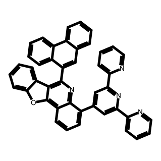 c1ccc(-c2cc(-c3cccc4c3nc(-c3cc5ccccc5c5ccccc35)c3c5ccccc5oc43)cc(-c3ccccn3)n2)nc1